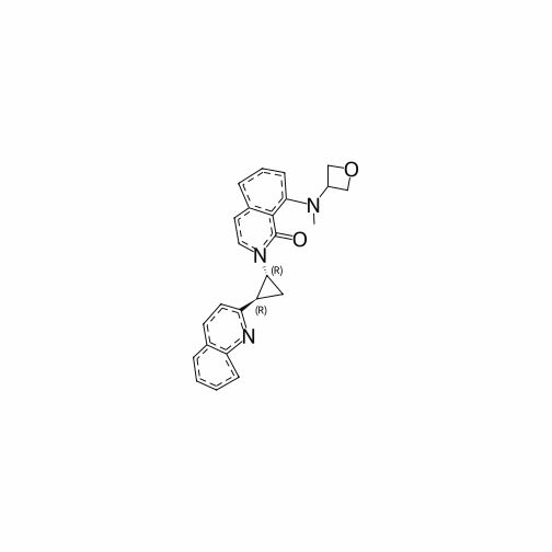 CN(c1cccc2ccn([C@@H]3C[C@H]3c3ccc4ccccc4n3)c(=O)c12)C1COC1